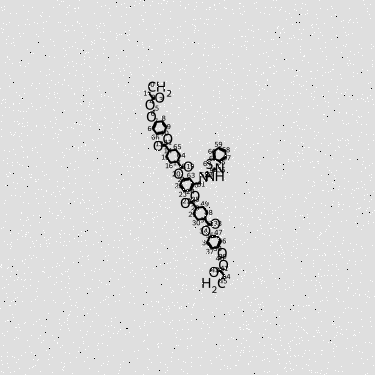 C=CC(=O)OCOc1ccc(OC(=O)C2CCC(C(=O)Oc3ccc(OC(=O)C4CCC(C(=O)Oc5ccc(OCOC(=O)C=C)cc5)CC4)c(/C=N/Nc4nc5ccccc5s4)c3)CC2)cc1